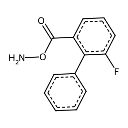 NOC(=O)c1cccc(F)c1-c1ccccc1